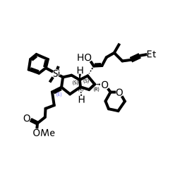 CCC#CCC(C)CC=C(O)[C@H]1[C@H]2CC([Si](C)(C)c3ccccc3)/C(=C/CCCC(=O)OC)C[C@@H]2C[C@H]1OC1CCCCO1